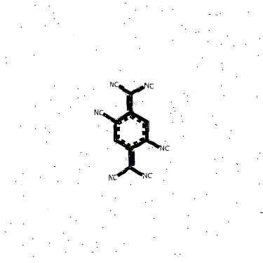 [C-]#[N+]/C(C#N)=c1/cc(C#N)/c(=C(\C#N)[N+]#[C-])cc1[N+]#[C-]